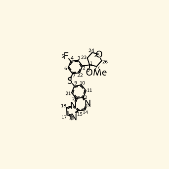 COC1(c2cc(F)cc(Sc3ccc4ncc5nccn5c4c3)c2)CCOCC1